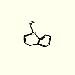 [CH2]CCN1C=CCc2ccccc21